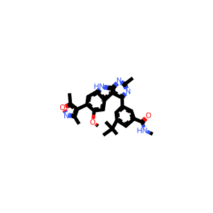 CNC(=O)c1cc(-c2nc(C)nc3[nH]c4cc(-c5c(C)noc5C)c(OC)cc4c23)cc(C(C)(C)C)c1